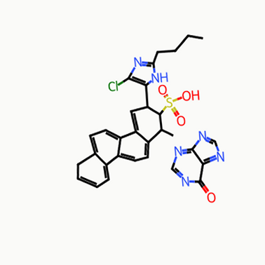 CCCCc1nc(Cl)c(C2C=c3c(ccc4c5c(ccc34)CC=CC=5)C(C)C2S(=O)(=O)O)[nH]1.O=C1N=CN=C2N=CN=C12